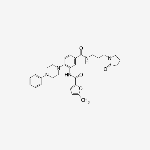 Cc1ccc(C(=O)Nc2cc(C(=O)NCCCN3CCCC3=O)ccc2N2CCN(c3ccccc3)CC2)o1